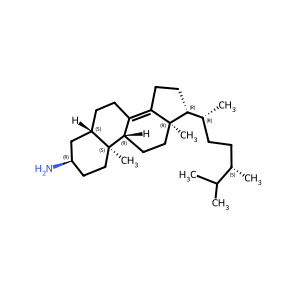 CC(C)[C@@H](C)CC[C@@H](C)[C@H]1CCC2=C3CC[C@H]4C[C@H](N)CC[C@]4(C)[C@H]3CC[C@@]21C